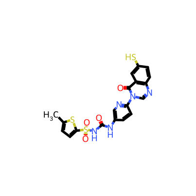 Cc1ccc(S(=O)(=O)NC(=O)Nc2ccc(-n3cnc4ccc(S)cc4c3=O)nc2)s1